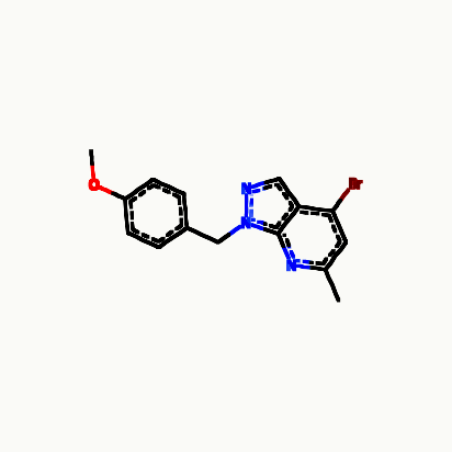 COc1ccc(Cn2ncc3c(Br)cc(C)nc32)cc1